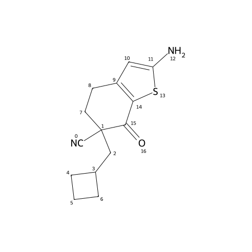 N#CC1(CC2CCC2)CCc2cc(N)sc2C1=O